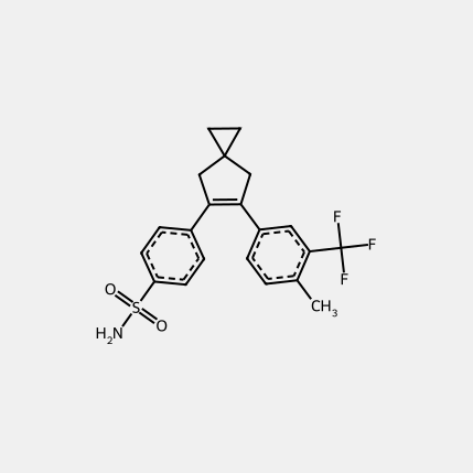 Cc1ccc(C2=C(c3ccc(S(N)(=O)=O)cc3)CC3(CC3)C2)cc1C(F)(F)F